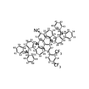 N#Cc1ccc(-c2ccc(-c3ccc(C(F)(F)F)cc3C(F)(F)F)cc2-n2c3ccccc3c3c2ccc2c4ccccc4n(-c4ccccc4)c23)c(-n2c3ccccc3c3c2ccc2c4ccccc4n(-c4ccccc4)c23)c1